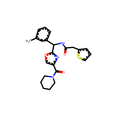 Cc1cccc(C(NC(=O)Cc2cccs2)c2nc(C(=O)N3CCCCC3)co2)c1